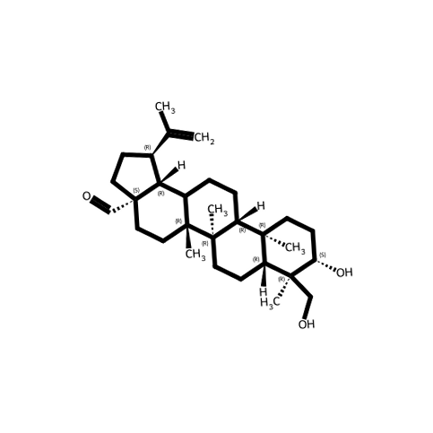 C=C(C)[C@@H]1CC[C@]2(C=O)CC[C@]3(C)C(CC[C@@H]4[C@@]5(C)CC[C@H](O)[C@@](C)(CO)[C@@H]5CC[C@]43C)[C@@H]12